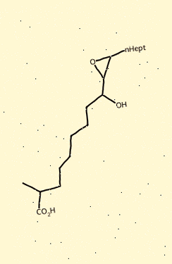 CCCCCCCC1OC1C(O)CCCCCCC(C)C(=O)O